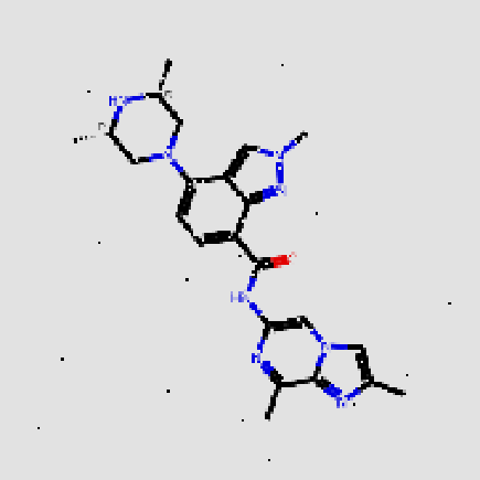 Cc1cn2cc(NC(=O)c3ccc(N4C[C@H](C)N[C@@H](C)C4)c4cn(C)nc34)nc(C)c2n1